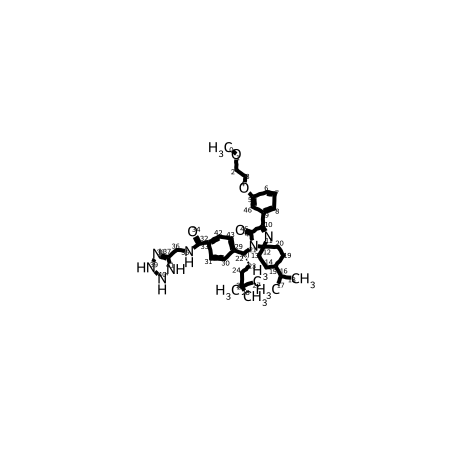 COCCOc1cccc(C2=NC3(CCC(C(C)C)CC3)N([C@H](CCC(C)(C)C)c3ccc(C(=O)NCC4=NNNN4)cc3)C2=O)c1